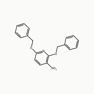 O=[N+]([O-])c1ccc(OCc2ccccc2)nc1OCc1ccccc1